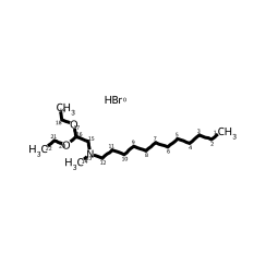 Br.CCCCCCCCCCCCN(C)CC(OCC)OCC